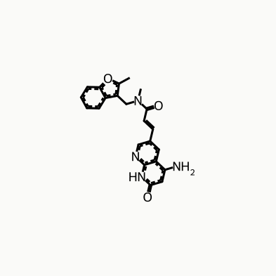 Cc1oc2ccccc2c1CN(C)C(=O)/C=C/c1cnc2[nH]c(=O)cc(N)c2c1